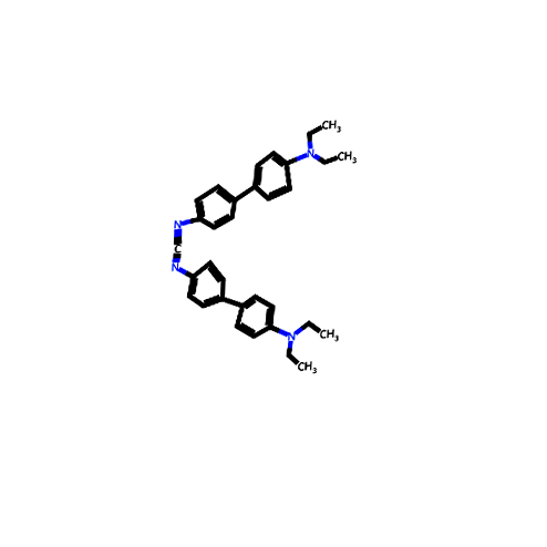 CCN(CC)c1ccc(-c2ccc(N=C=Nc3ccc(-c4ccc(N(CC)CC)cc4)cc3)cc2)cc1